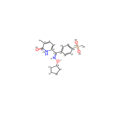 Cc1ccc(/C(=N/OC2CCCC2)c2ccc(S(C)(=O)=O)cc2)[nH]c1=O